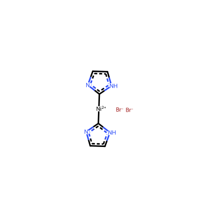 [Br-].[Br-].c1c[nH][c]([Ni+2][c]2ncc[nH]2)n1